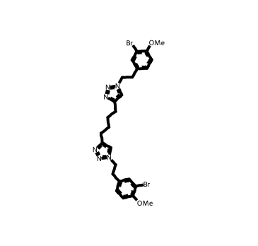 COc1ccc(CCn2cc(CCCCc3cn(CCc4ccc(OC)c(Br)c4)nn3)nn2)cc1Br